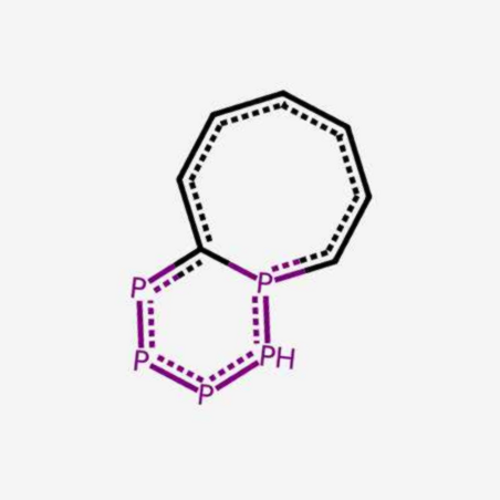 c1cccp2[pH]pppc-2cc1